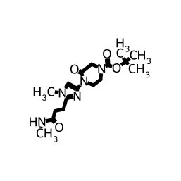 CNC(=O)CCc1nc(N2CCN(C(=O)OC(C)(C)C)CC2=O)cn1C